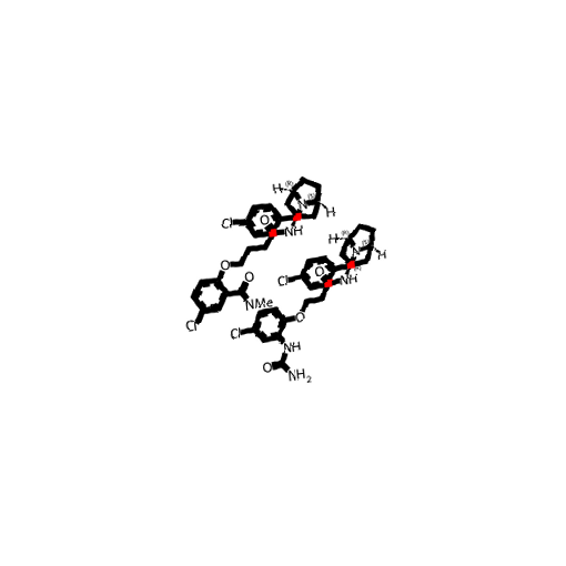 CNC(=O)c1cc(Cl)ccc1OCCCC(=O)N[C@H]1C[C@H]2CC[C@@H](C1)N2Cc1ccc(Cl)cc1.NC(=O)Nc1cc(Cl)ccc1OCCC(=O)N[C@H]1C[C@H]2CC[C@@H](C1)N2Cc1ccc(Cl)cc1